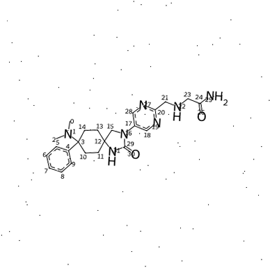 CN(C)C1(c2ccccc2)CCC2(CC1)CN(c1cnc(CNCC(N)=O)nc1)C(=O)N2